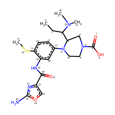 CCC(C1CN(C(=O)O)CCN1c1ccc(SC)c(NC(=O)c2coc(N)n2)c1)N(C)C